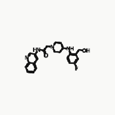 O=C(CN1CCC(Nc2ccc(F)cc2CO)CC1)Nc1cnc2ccccc2c1